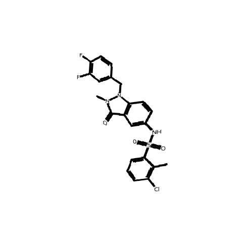 Cc1c(Cl)cccc1S(=O)(=O)Nc1ccc2c(c1)c(=O)n(C)n2Cc1ccc(F)c(F)c1